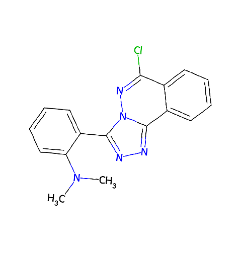 CN(C)c1ccccc1-c1nnc2c3ccccc3c(Cl)nn12